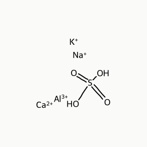 O=S(=O)(O)O.[Al+3].[Ca+2].[K+].[Na+]